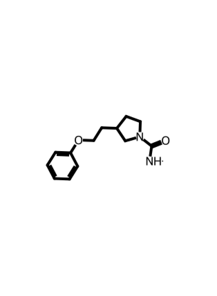 [NH]C(=O)N1CCC(CCOc2ccccc2)C1